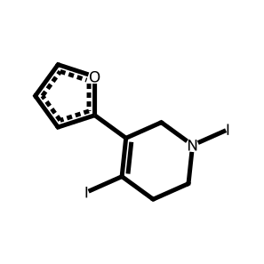 IC1=C(c2ccco2)CN(I)CC1